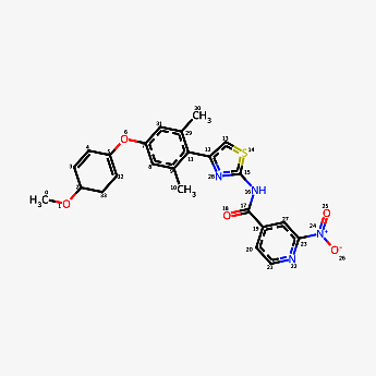 COC1C=CC(Oc2cc(C)c(-c3csc(NC(=O)c4ccnc([N+](=O)[O-])c4)n3)c(C)c2)=CC1